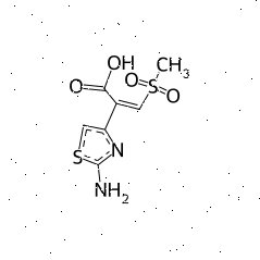 CS(=O)(=O)/C=C(\C(=O)O)c1csc(N)n1